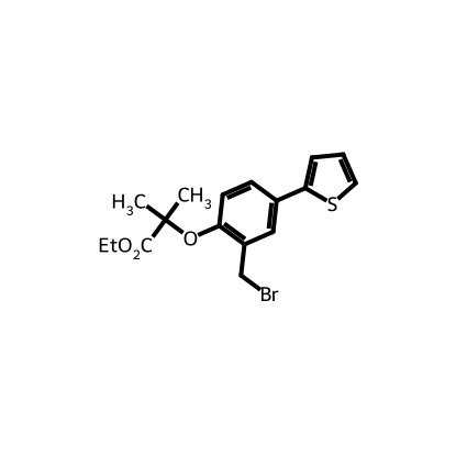 CCOC(=O)C(C)(C)Oc1ccc(-c2cccs2)cc1CBr